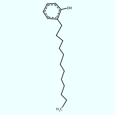 CCCCCCCCCCCCc1[c]cccc1O